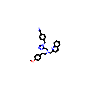 COc1ccc(CCN(Cc2ccc3ccccc3n2)Cc2nncn2Cc2ccc(C#N)cc2)cc1